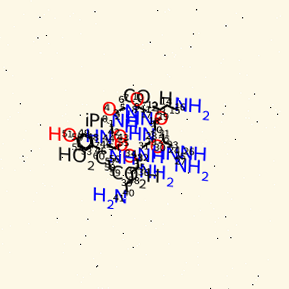 CC(C)[C@H](NC(=O)[C@H](CC(=O)O)NC(=O)[C@H](CCCCN)NC(=O)[C@H](CCCNC(=N)N)NC(=O)CNC(=O)[C@H](N)CCCCN)C(=O)N[C@@H](Cc1ccc(O)cc1)C(=O)N[C@@H](CC(=O)O)C(=O)O